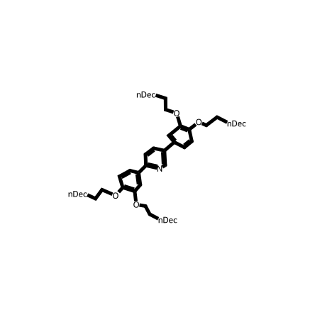 CCCCCCCCCCCCOc1ccc(-c2ccc(-c3ccc(OCCCCCCCCCCCC)c(OCCCCCCCCCCCC)c3)nc2)cc1OCCCCCCCCCCCC